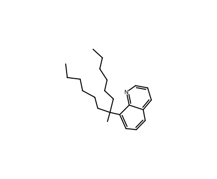 CCCCCCC(C)(CCCCCC)c1cccc2cccnc12